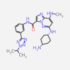 CNc1cc(N[C@H]2CC[C@H](N)CC2)nn2c(C(=O)Nc3cccc(-c4nnn(C(C)C)n4)c3)cnc12